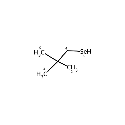 CC(C)(C)C[SeH]